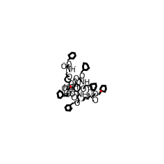 O=C(NCCC[C@H](OCc1ccccc1)C(=O)N[C@@H]1C(OCc2ccccc2)[C@H](NC(=O)OCc2ccccc2)C(O[C@H]2OC(CNC(=O)OCc3ccccc3)CCC2NC(=O)OCc2ccccc2)C(O)[C@H]1O)OCc1ccccc1